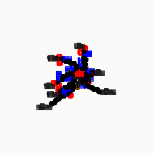 CCCCCCCCCCCCCCCCNC(=O)NCCSC[C@@H](NC(=O)CCCCCCCCCCCCCCC)C(=O)N[C@H](COC(C)(C)C)C(=O)N[C@@H](CCCCNC(=O)OC(C)(C)C)C(=O)N[C@@H](CCCCNC(=O)OC(C)(C)C)C(=O)N[C@@H](CCCCNC(=O)OC(C)(C)C)C(=O)N[C@@H](CCCCNC(=O)OC(C)(C)C)C(=O)O